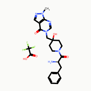 Cn1ncc2c(=O)n(CC3(O)CCN(C(=O)[C@H](N)Cc4ccccc4)CC3)cnc21.O=C(O)C(F)(F)F